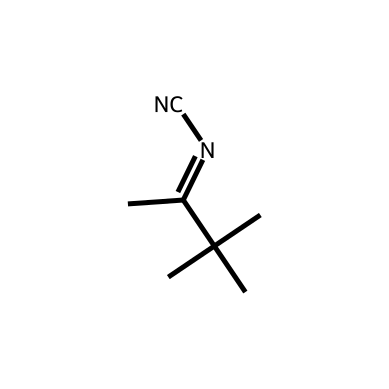 C/C(=N\C#N)C(C)(C)C